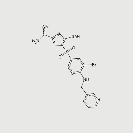 CSc1sc(C(=N)N)cc1S(=O)(=O)c1cnc(NCc2cccnc2)c(Br)c1